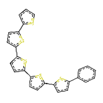 c1ccc(-c2ccc(-c3ccc(-c4ccc(-c5ccc(-c6cccs6)s5)s4)s3)s2)cc1